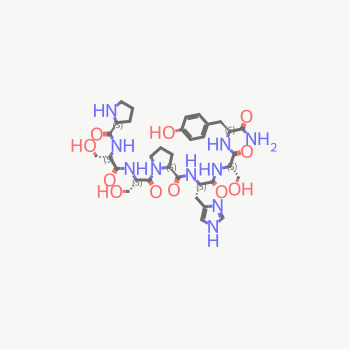 NC(=O)[C@H](Cc1ccc(O)cc1)NC(=O)[C@H](CO)NC(=O)[C@H](Cc1c[nH]cn1)NC(=O)[C@@H]1CCCN1C(=O)[C@H](CO)NC(=O)[C@H](CO)NC(=O)[C@@H]1CCCN1